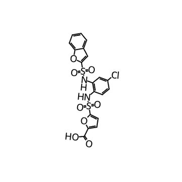 O=C(O)c1ccc(S(=O)(=O)Nc2ccc(Cl)cc2NS(=O)(=O)c2cc3ccccc3o2)o1